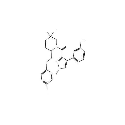 COc1cccc(-c2cn(C)nc2C(=O)N2CC(F)(F)C[C@@H](C)C2CNc2cnc(C(F)(F)F)cn2)c1